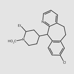 CCC1CC(C2c3ccc(Cl)cc3CCc3cccnc32)CCN1C(=O)O